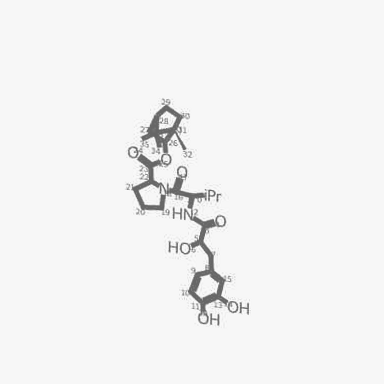 CC(C)C(NC(=O)C(O)Cc1ccc(O)c(O)c1)C(=O)N1CCCC1C(=O)OC1CC2CC[C@@]1(C)C2(C)C